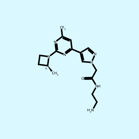 C[C@H]1CCN1c1nc(-c2cnn(CC(=O)NCCN)c2)cc(C(F)(F)F)n1